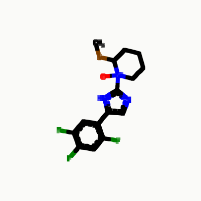 CSC1CCCC[N+]1([O-])c1ncc(-c2cc(F)c(F)cc2F)[nH]1